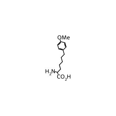 COc1ccc(CCCCCC(N)C(=O)O)cc1